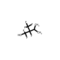 CC(C)C(F)(C(O)(F)F)C(F)(F)F